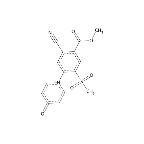 COC(=O)c1cc(S(C)(=O)=O)c(-n2ccc(=O)cc2)cc1C#N